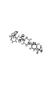 CC1(C)C2CCC1(CS(=O)(=O)N1CCN(c3ccc(C(F)(F)F)cn3)CC1)C(=O)C2